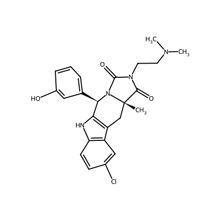 CN(C)CCN1C(=O)N2[C@H](c3cccc(O)c3)c3[nH]c4ccc(Cl)cc4c3C[C@@]2(C)C1=O